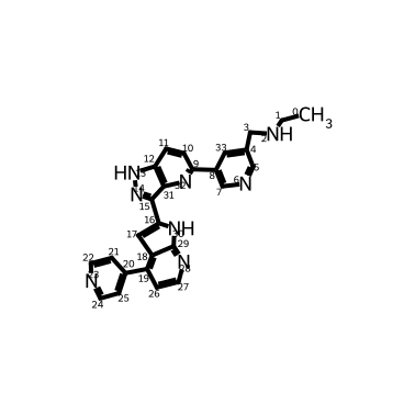 CCNCc1cncc(-c2ccc3[nH]nc(-c4cc5c(-c6ccncc6)ccnc5[nH]4)c3n2)c1